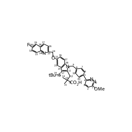 COc1ccc(-c2ccc(Cn3c(CC(C)(C)C(=O)O)c(SC(C)(C)C)c4cc(OCc5ccc6cc(F)ccc6n5)ccc43)cc2)nn1